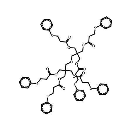 O=C(CCSc1ccccc1)OCC(COCC(COC(=O)CCSc1ccccc1)(COC(=O)CCSc1ccccc1)COC(=O)CCSc1ccccc1)(COC(=O)CCSc1ccccc1)COC(=O)CCSc1ccccc1